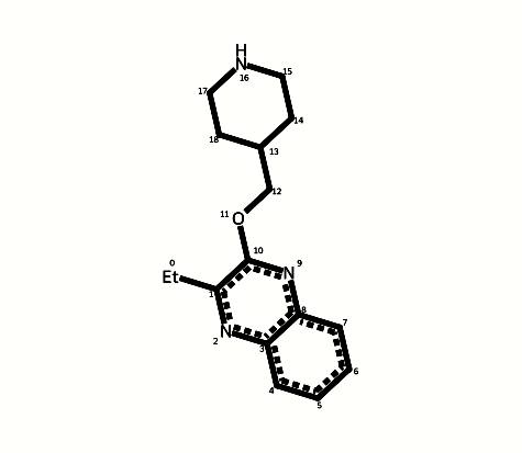 CCc1nc2ccccc2nc1OCC1CCNCC1